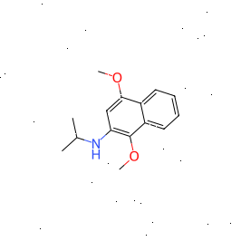 COc1cc(NC(C)C)c(OC)c2ccccc12